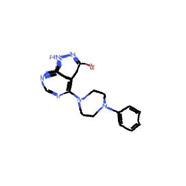 Brc1n[nH]c2ncnc(N3CCN(c4ccccc4)CC3)c12